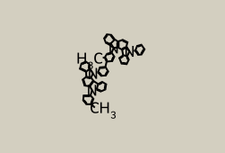 Cc1cccc(-n2c3ccccc3c3c2ccc2c4ccccc4n(-c4cccc(-c5ccc(-n6c7ccccc7c7ccc8c(c9ccccc9n8-c8ccccc8)c76)cc5C)c4)c23)c1